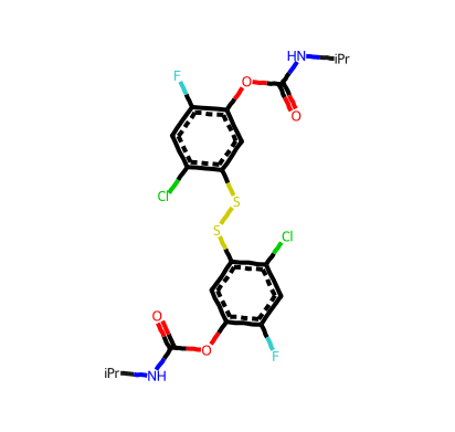 CC(C)NC(=O)Oc1cc(SSc2cc(OC(=O)NC(C)C)c(F)cc2Cl)c(Cl)cc1F